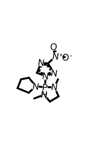 CN1CCN(C)[PH]1(N1CCCC1)n1cnc([N+](=O)[O-])n1